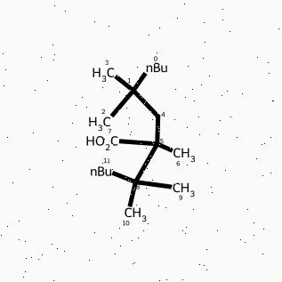 CCCCC(C)(C)CC(C)(C(=O)O)C(C)(C)CCCC